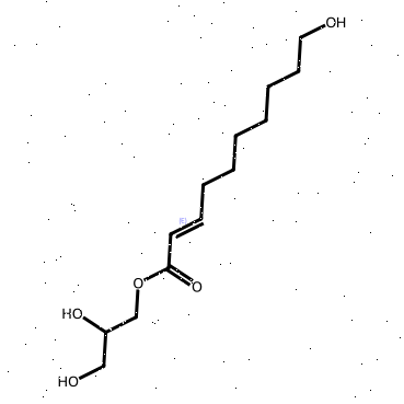 O=C(/C=C/CCCCCCCO)OCC(O)CO